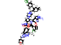 CC1(C)CCC(CN2CCN(c3ccc(C(=O)NS(=O)(=O)c4ccc(NCC5CCOCC5)c([N+](=O)[O-])c4)c(N4C[C@H]5CC(F)(F)C[C@H]5Oc5nc6[nH]ccc6cc54)c3)CC2)=C(c2ccc(Cl)cc2)C1